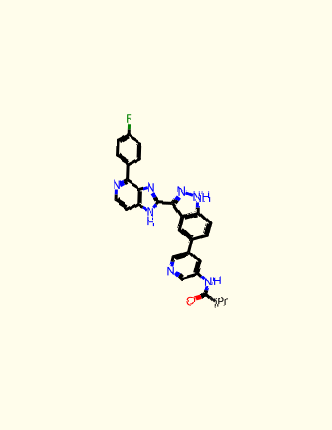 CC(C)C(=O)Nc1cncc(-c2ccc3[nH]nc(-c4nc5c(-c6ccc(F)cc6)nccc5[nH]4)c3c2)c1